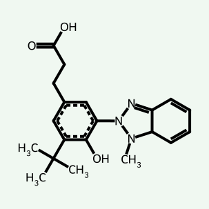 CN1C2C=CC=CC2=NN1c1cc(CCC(=O)O)cc(C(C)(C)C)c1O